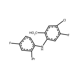 CC(C)c1cc(F)ccc1Nc1cc(F)c(Cl)cc1C(=O)O